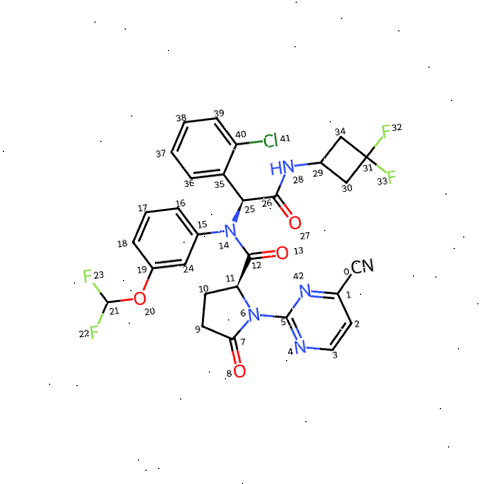 N#Cc1ccnc(N2C(=O)CC[C@H]2C(=O)N(c2cccc(OC(F)F)c2)[C@H](C(=O)NC2CC(F)(F)C2)c2ccccc2Cl)n1